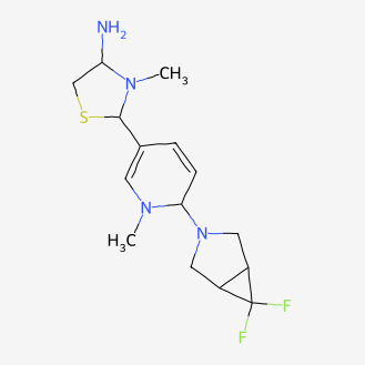 CN1C=C(C2SCC(N)N2C)C=CC1N1CC2C(C1)C2(F)F